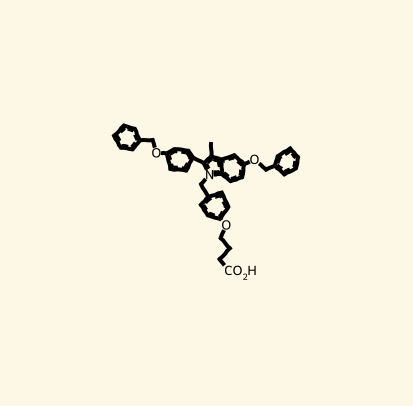 Cc1c(-c2ccc(OCc3ccccc3)cc2)n(Cc2ccc(OCCCC(=O)O)cc2)c2ccc(OCc3ccccc3)cc12